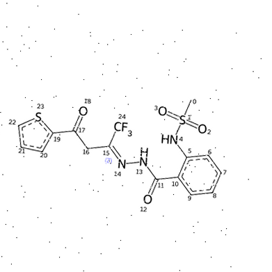 CS(=O)(=O)Nc1ccccc1C(=O)N/N=C(/CC(=O)c1cccs1)C(F)(F)F